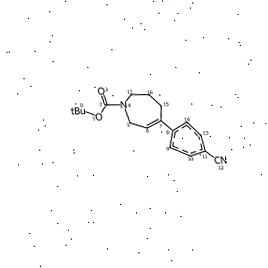 CC(C)(C)OC(=O)N1CC=C(c2ccc(C#N)cc2)CCC1